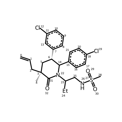 C=CC[C@@]1(C)C[C@H](c2cccc(Cl)c2)C(c2ccc(Cl)cc2)N(C(CC)CNS(C)(=O)=O)C1=O